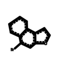 Brc1cc2occc2c2ccccc12